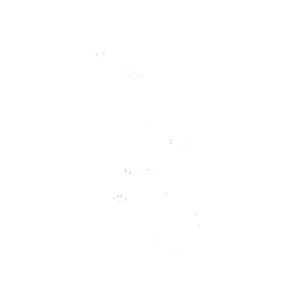 Cc1ccc(C(=O)c2n[nH]c3ccccc23)cc1